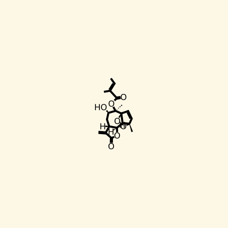 C=C1C(=O)O[C@@H]2[C@@H]3[C@@]4(C=C[C@]3(C)OO4)[C@](C)(OC(=O)/C(C)=C/C)[C@H](O)C[C@@H]12